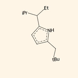 CCC(c1ccc(CC(C)(C)C)[nH]1)C(C)C